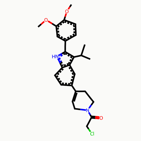 COc1ccc(-c2[nH]c3ccc(C4=CCN(C(=O)CCl)CC4)cc3c2C(C)C)cc1OC